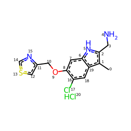 Cc1c(CN)[nH]c2cc(OCc3cscn3)c(Cl)cc12.Cl